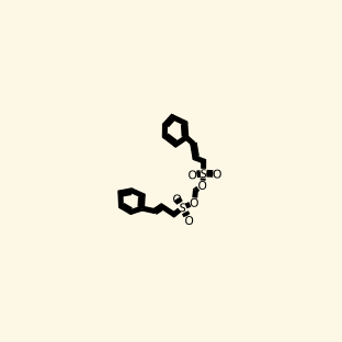 O=S(=O)(CC=Cc1ccccc1)OCOS(=O)(=O)CC=Cc1ccccc1